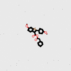 COc1ccc(-c2sc3cc(OC)ccc3c2C(=O)OC(=O)Cc2ccccc2)cc1